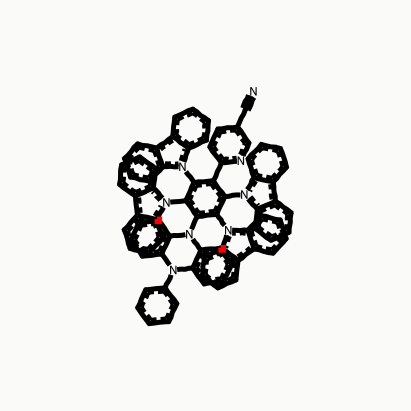 N#Cc1ccc(-c2c(-n3c4ccccc4c4ccccc43)c(-n3c4ccccc4c4ccccc43)c(N3c4ccccc4N(c4ccccc4)c4ccccc43)c(-n3c4ccccc4c4ccccc43)c2-n2c3ccccc3c3ccccc32)nc1